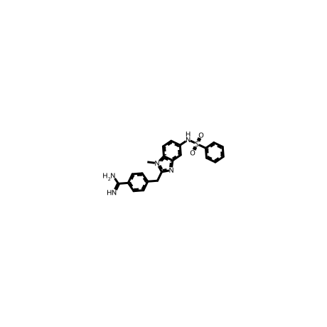 Cn1c(Cc2ccc(C(=N)N)cc2)nc2cc(NS(=O)(=O)c3ccccc3)ccc21